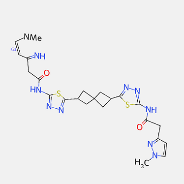 CN/C=C\C(=N)CC(=O)Nc1nnc(C2CC3(C2)CC(c2nnc(NC(=O)Cc4ccn(C)n4)s2)C3)s1